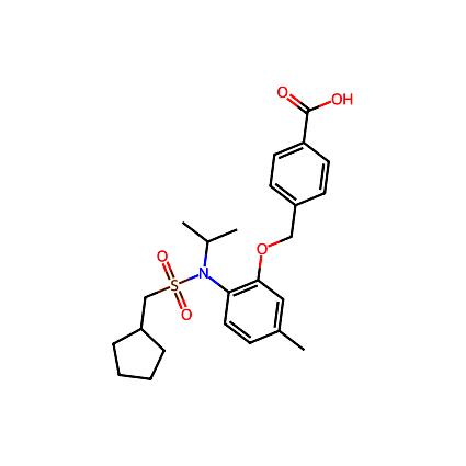 Cc1ccc(N(C(C)C)S(=O)(=O)CC2CCCC2)c(OCc2ccc(C(=O)O)cc2)c1